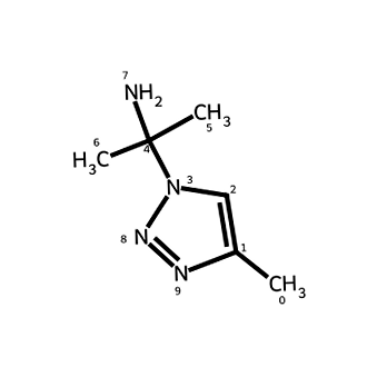 Cc1cn(C(C)(C)N)nn1